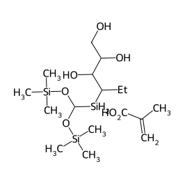 C=C(C)C(=O)O.CCC([SiH2]C(O[Si](C)(C)C)O[Si](C)(C)C)C(O)C(O)CO